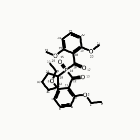 CCOc1cccc(OCC)c1C(=O)P(=O)(C(=O)c1c(OC)cccc1OC)C1CCCC1